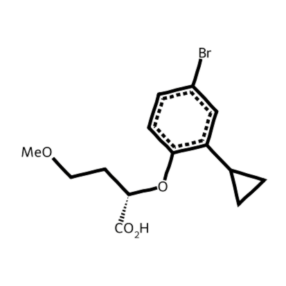 COCC[C@H](Oc1ccc(Br)cc1C1CC1)C(=O)O